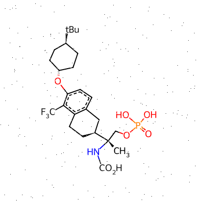 CC(C)(C)[C@H]1CC[C@H](Oc2ccc3c(c2C(F)(F)F)CC[C@H]([C@](C)(COP(=O)(O)O)NC(=O)O)C3)CC1